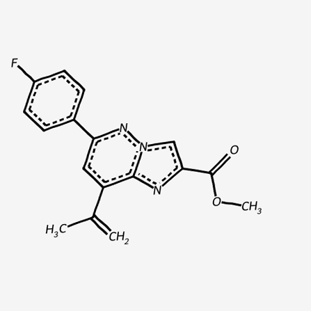 C=C(C)c1cc(-c2ccc(F)cc2)nn2cc(C(=O)OC)nc12